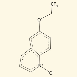 [O-][n+]1cccc2cc(OCC(F)(F)F)ccc21